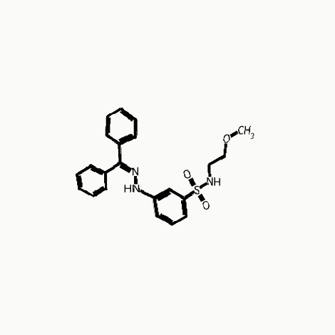 COCCNS(=O)(=O)c1cccc(NN=C(c2ccccc2)c2ccccc2)c1